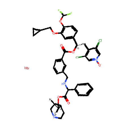 Br.O=C(O[C@@H](Cc1c(Cl)c[n+]([O-])cc1Cl)c1ccc(OC(F)F)c(OCC2CC2)c1)c1cccc(CNC(C(=O)O[C@H]2CN3CCC2CC3)c2ccccc2)c1